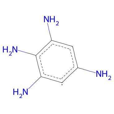 Nc1[c]c(N)c(N)c(N)c1